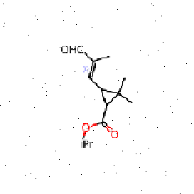 C/C(C=O)=C\C1C(C(=O)OC(C)C)C1(C)C